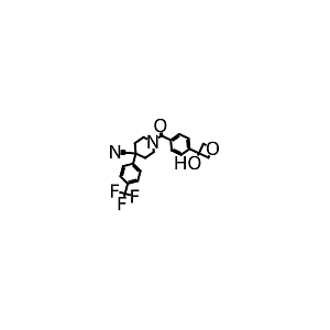 N#CC1(c2ccc(C(F)(F)F)cc2)CCN(C(=O)c2ccc(C3(O)COC3)cc2)CC1